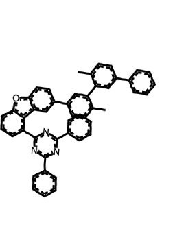 Cc1ccc(-c2ccccc2)cc1-c1cc(-c2ccc3oc4cccc(-c5nc(-c6ccccc6)nc(-c6ccccc6)n5)c4c3c2)ccc1C